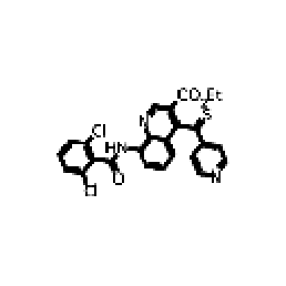 CCOC(=O)c1cnc2c(NC(=O)c3c(Cl)cccc3Cl)cccc2c1C(=S)c1ccncc1